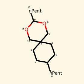 CCCCCC1CCC2(CC1)COC(CCCCC)OC2